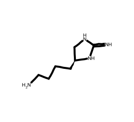 N=C1NC[C@H](CCCCN)N1